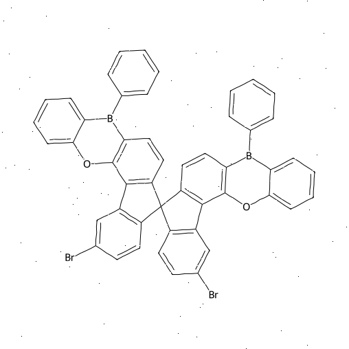 Brc1ccc2c(c1)-c1c(ccc3c1Oc1ccccc1B3c1ccccc1)C21c2ccc(Br)cc2-c2c1ccc1c2Oc2ccccc2B1c1ccccc1